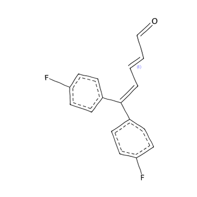 O=C/C=C/C=C(c1ccc(F)cc1)c1ccc(F)cc1